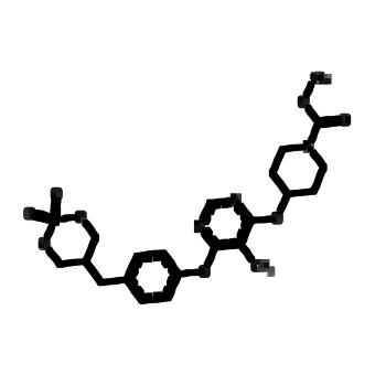 Cc1c(Oc2ccc(CC3COS(=O)(=O)OC3)cc2)ncnc1OC1CCN(C(=O)OC(C)(C)C)CC1